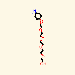 NC1CCC(OCCOCCOCCOCCOCCO)CC1